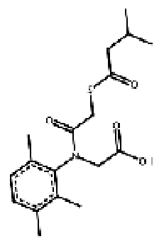 Cc1ccc(C)c(N(CC(=O)O)C(=O)CSC(=O)CC(C)C)c1C